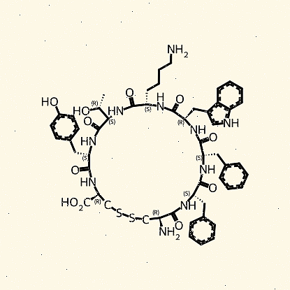 C[C@@H](O)[C@@H]1NC(=O)[C@H](CCCCN)NC(=O)[C@@H](Cc2c[nH]c3ccccc23)NC(=O)[C@H](Cc2ccccc2)NC(=O)[C@H](Cc2ccccc2)NC(=O)[C@@H](N)CSSC[C@@H](C(=O)O)NC(=O)[C@H](Cc2ccc(O)cc2)NC1=O